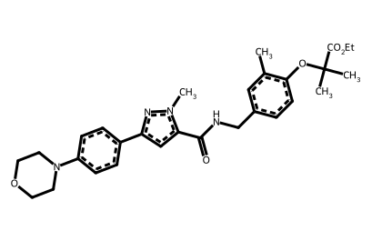 CCOC(=O)C(C)(C)Oc1ccc(CNC(=O)c2cc(-c3ccc(N4CCOCC4)cc3)nn2C)cc1C